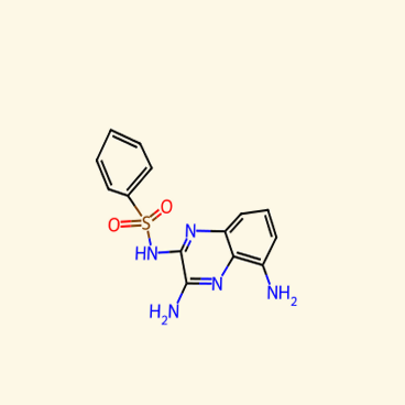 Nc1nc2c(N)cccc2nc1NS(=O)(=O)c1ccccc1